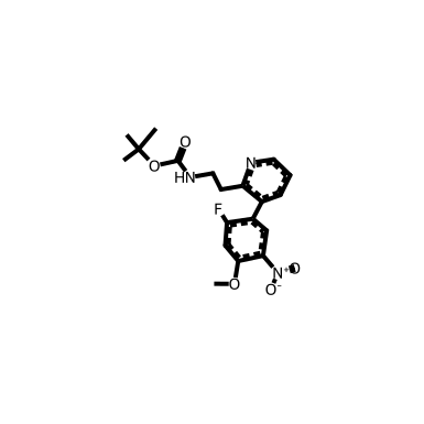 COc1cc(F)c(-c2cccnc2CCNC(=O)OC(C)(C)C)cc1[N+](=O)[O-]